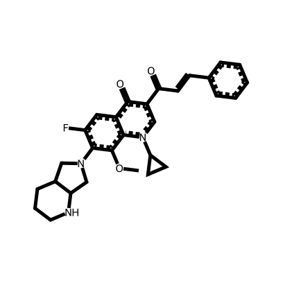 COc1c(N2CC3CCCNC3C2)c(F)cc2c(=O)c(C(=O)/C=C/c3ccccc3)cn(C3CC3)c12